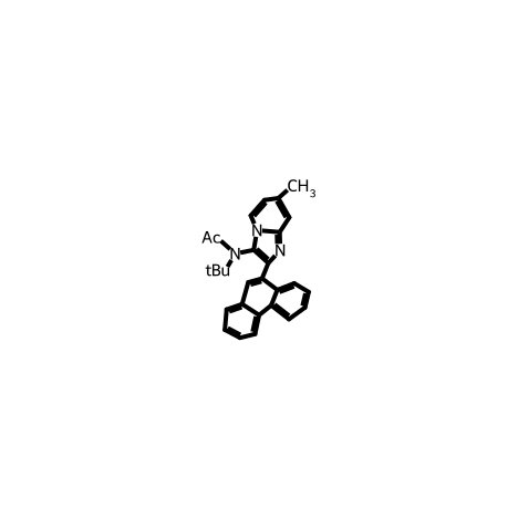 CC(=O)N(c1c(-c2cc3ccccc3c3ccccc23)nc2cc(C)ccn12)C(C)(C)C